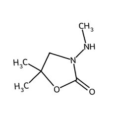 CNN1CC(C)(C)OC1=O